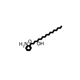 CCCCCCCCCCCCCC(O)CCC(=O)c1ccccc1N